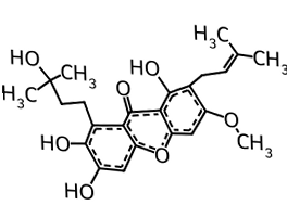 COc1cc2oc3cc(O)c(O)c(CCC(C)(C)O)c3c(=O)c2c(O)c1CC=C(C)C